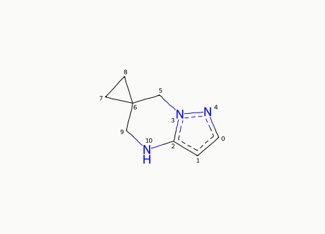 c1cc2n(n1)CC1(CC1)CN2